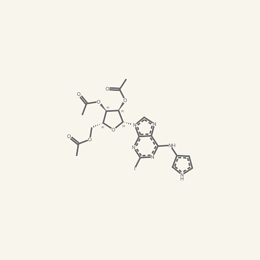 CC(=O)OC[C@H]1O[C@@H](n2cnc3c(Nc4cc[nH]c4)nc(I)nc32)[C@H](OC(C)=O)[C@@H]1OC(C)=O